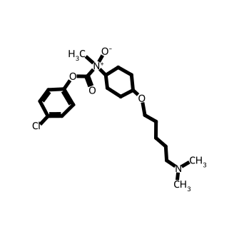 CN(C)CCCCCOC1CCC([N+](C)([O-])C(=O)Oc2ccc(Cl)cc2)CC1